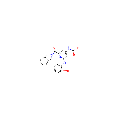 O=C(O)Nc1cc(Nc2ccccc2O)nc(C(=O)N2Cc3ccccc3C2)c1